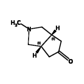 CN1C[C@H]2CC(=O)C[C@H]2C1